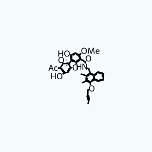 CC#CCOc1c(C)c(C)c(CNC(=O)c2c(OC)cc(O)c3c2OC2=CC(O)=C(C(C)=O)C(=O)[C@]23C)c2ccccc12